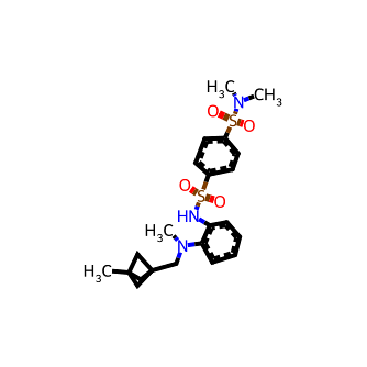 CN(CC12CC(C)(C1)C2)c1ccccc1NS(=O)(=O)c1ccc(S(=O)(=O)N(C)C)cc1